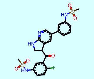 CS(=O)(=O)Nc1cccc(-c2cnc3c(c2)C(C(=O)c2cc(NS(C)(=O)=O)ccc2F)CN3)c1